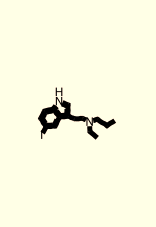 CCCN(CC)CCc1c[nH]c2ccc(I)cc12